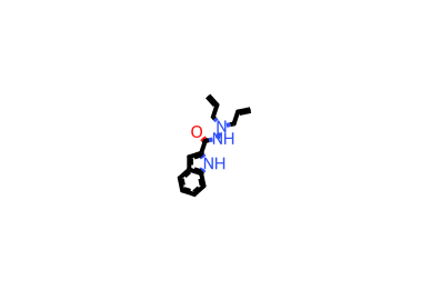 C=CCN(CC=C)NC(=O)c1cc2ccccc2[nH]1